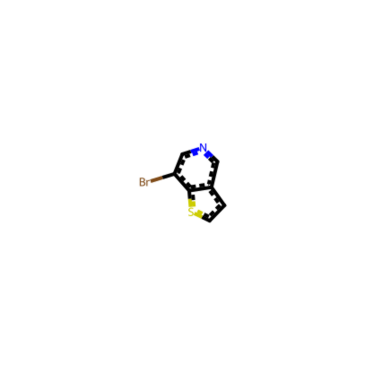 Brc1cncc2ccsc12